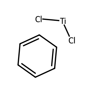 [Cl][Ti][Cl].c1ccccc1